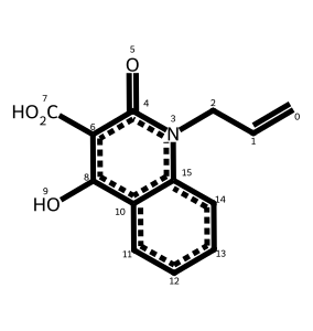 C=CCn1c(=O)c(C(=O)O)c(O)c2ccccc21